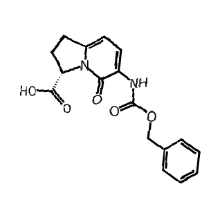 O=C(Nc1ccc2n(c1=O)[C@H](C(=O)O)CC2)OCc1ccccc1